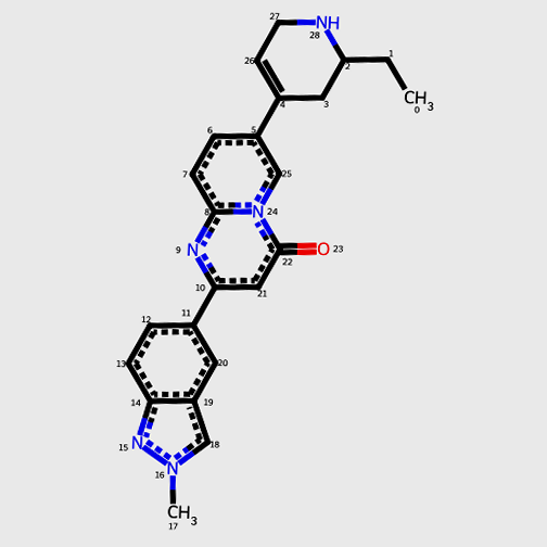 CCC1CC(c2ccc3nc(-c4ccc5nn(C)cc5c4)cc(=O)n3c2)=CCN1